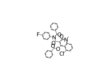 Cn1c(=O)c(C(=O)N(C(=O)c2ccccc2)c2ccc(F)cc2)c(OC(=O)c2ccccc2)c2c(Cl)cccc21